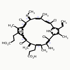 C=Cc1c2[nH]c(c1C)/C(Cl)=C(N)/C(C)=C(/CCC(=O)O)C(=C)/C(Cl)=c1\[nH]\c(c(C)c1CCC(=O)O)=C(Cl)/C(=N/C)/C=C(C)\C=C\2Cl